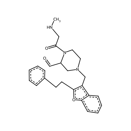 CNCC(=O)N1CCN(Cc2c(CCc3ccccc3)oc3ccccc23)CC1C=O